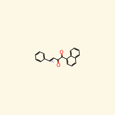 O=C(/C=C/c1ccccc1)C(=O)c1cccc2ccccc12